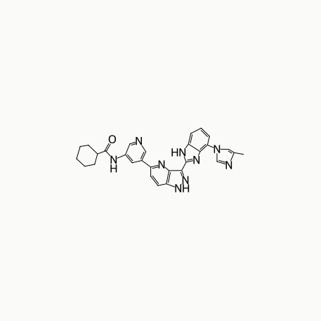 Cc1cn(-c2cccc3[nH]c(-c4n[nH]c5ccc(-c6cncc(NC(=O)C7CCCCC7)c6)nc45)nc23)cn1